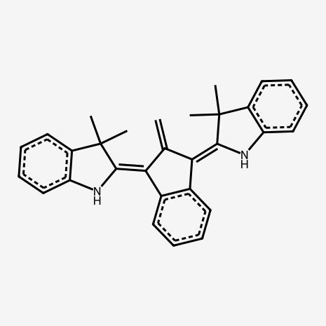 C=C1/C(=C2/Nc3ccccc3C2(C)C)c2ccccc2/C1=C1\Nc2ccccc2C1(C)C